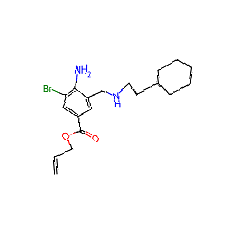 C=CCOC(=O)c1cc(Br)c(N)c(CNCCC2CCCCC2)c1